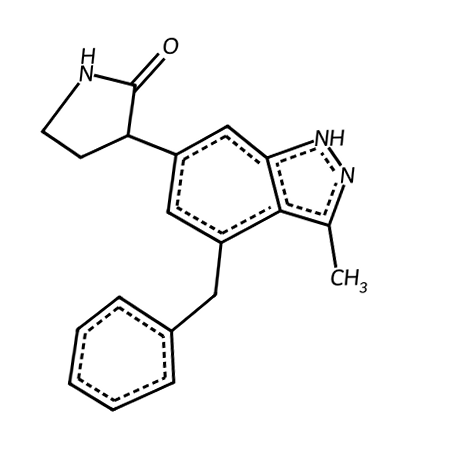 Cc1n[nH]c2cc(C3CCNC3=O)cc(Cc3ccccc3)c12